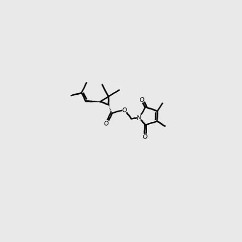 CC(C)=C[C@@H]1[C@@H](C(=O)OCN2C(=O)C(C)=C(C)C2=O)C1(C)C